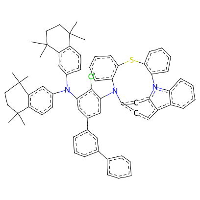 CC1(C)CCC(C)(C)c2cc(N(c3ccc4c(c3)C(C)(C)CCC4(C)C)c3cc(-c4cccc(-c5ccccc5)c4)cc(N4c5ccc6c7ccccc7n(c6c5)-c5ccccc5Sc5ccccc54)c3Cl)ccc21